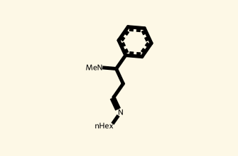 CCCCCCN=CCC(NC)c1ccccc1